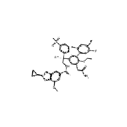 CCOc1c(CC(N)=O)cc([C@@](O)(CNC(=O)c2cc(OC)c3nn(C4CC4)cc3c2)c2cccc(S(C)(=O)=O)c2)nc1-c1cc(Cl)c(F)cc1F